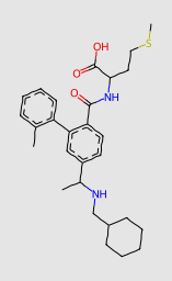 CSCCC(NC(=O)c1ccc(C(C)NCC2CCCCC2)cc1-c1ccccc1C)C(=O)O